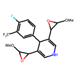 COC1OC1C1=CNC=C(C2OC2OC)C1c1ccc(F)c(C(F)(F)F)c1